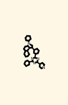 c1ccc(-c2nc(-c3ccncc3)nc(-c3cccc(-c4cn(-c5ccccc5)c5ccc6ccccc6c45)c3)n2)cc1